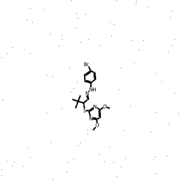 COc1cc(OC)nc(SC(/C=N/Nc2ccc(Br)cc2)C(C)(C)C)n1